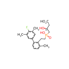 Cc1cc(-c2cccc(C)c2CCP(=O)(O)C[C@@H](O)CC(=O)O)cc(C)c1F